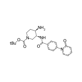 CC(C)(C)OC(=O)N1CC[C@@H](N)[C@@H](NC(=O)c2ccc(-n3ccccc3=O)cc2)C1